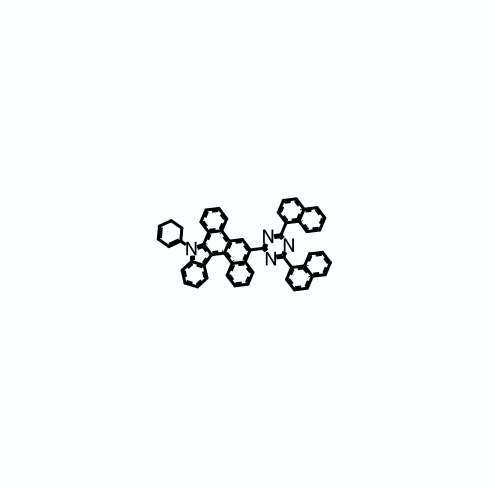 C1=CCCC(n2c3ccccc3c3c4c5ccccc5c(-c5nc(-c6cccc7ccccc67)nc(-c6cccc7ccccc67)n5)cc4c4ccccc4c32)=C1